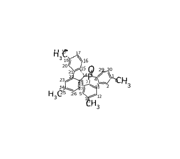 Cc1ccc(P(=O)(c2ccc(C)cc2)C2c3ccc(C)cc3-c3cc(C)ccc32)cc1